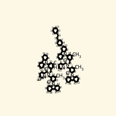 Cc1cc(CN(Cc2ccccn2)Cc2cc(C)cc(-n3c4ccccc4c4ccccc43)c2[O-])c([O-])c(-n2c3ccccc3c3ccccc32)c1.Cc1cc(CN(Cc2ccccn2)Cc2cc(C)cc(-n3c4ccccc4c4ccccc43)c2[O-])c([O-])c(-n2c3ccccc3c3ccccc32)c1.[Zr+4].c1ccc(CCc2ccccc2)cc1